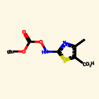 Cc1nc(NOC(=O)OC(C)(C)C)sc1C(=O)O